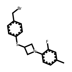 Cc1ccc(N2CC(Sc3ccc(CBr)cc3)C2)c(F)c1